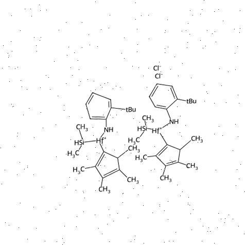 CC1=C(C)C(C)[C]([Hf+]([NH]c2ccccc2C(C)(C)C)[SiH](C)C)=C1C.CC1=C(C)C(C)[C]([Hf+]([NH]c2ccccc2C(C)(C)C)[SiH](C)C)=C1C.[Cl-].[Cl-]